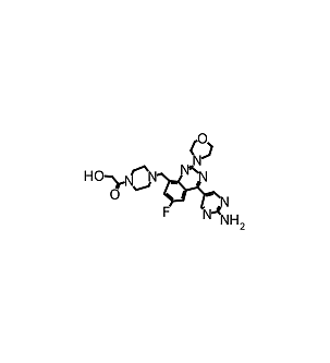 Nc1ncc(-c2nc(N3CCOCC3)nc3c(CN4CCN(C(=O)CO)CC4)cc(F)cc23)cn1